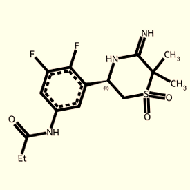 CCC(=O)Nc1cc(F)c(F)c([C@@H]2CS(=O)(=O)C(C)(C)C(=N)N2)c1